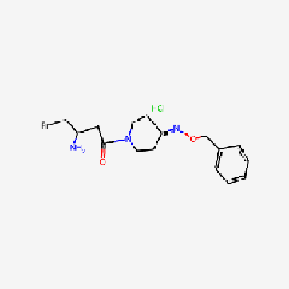 CC(C)CC(N)CC(=O)N1CCC(=NOCc2ccccc2)CC1.Cl